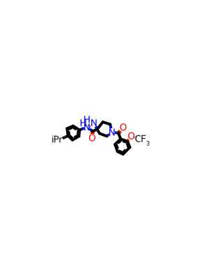 CC(C)c1ccc(NC(=O)C2(N)CCN(C(=O)c3ccccc3OC(F)(F)F)CC2)cc1